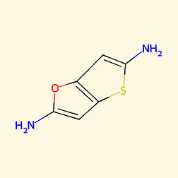 Nc1cc2sc(N)cc2o1